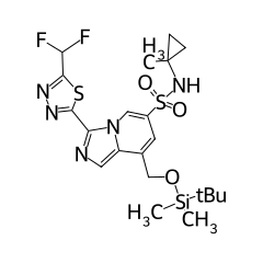 CC1(NS(=O)(=O)c2cc(CO[Si](C)(C)C(C)(C)C)c3cnc(-c4nnc(C(F)F)s4)n3c2)CC1